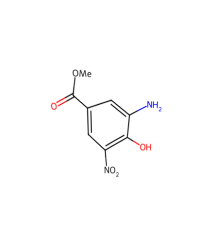 COC(=O)c1cc(N)c(O)c([N+](=O)[O-])c1